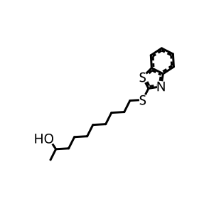 CC(O)CCCCCCCCSc1nc2ccccc2s1